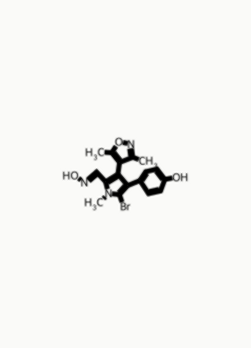 Cc1noc(C)c1-c1c(-c2ccc(O)cc2)c(Br)n(C)c1/C=N/O